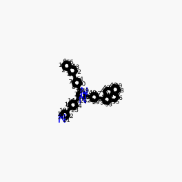 c1ccc2cc(-c3ccc(-c4cc(-c5ccc(-c6ccncc6)cc5)nc(-c5ccc(-c6ccc7ccc8cccc9ccc6c7c89)cc5)n4)cc3)ccc2c1